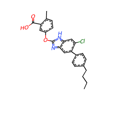 CCCCc1ccc(-c2cc3nc(Oc4ccc(C)c(C(=O)O)c4)[nH]c3cc2Cl)cc1